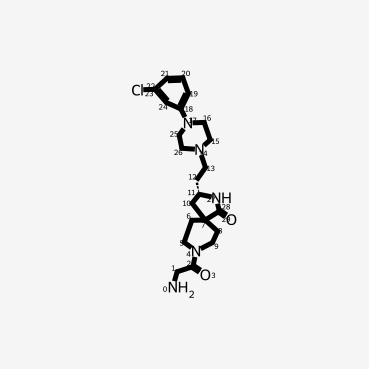 NCC(=O)N1CCC2(CC1)C[C@H](CCN1CCN(c3cccc(Cl)c3)CC1)NC2=O